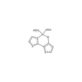 CCCCCCCCC1(CCCCCCCC)Oc2ccsc2-c2sccc21